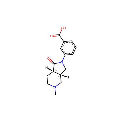 CN1CC[C@@H]2C(=O)N(c3cccc(C(=O)O)c3)C[C@@H]2C1